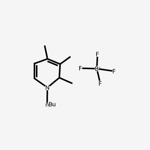 CCCCN1C=CC(C)=C(C)C1C.F[B-](F)(F)F